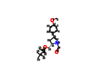 COc1ccc(C2=CN(C=O)[C@H](CO[Si](C)(C)C(C)(C)C)C2)cc1